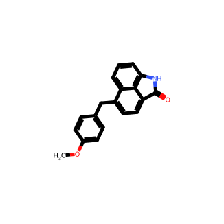 COc1ccc(Cc2ccc3c4c(cccc24)NC3=O)cc1